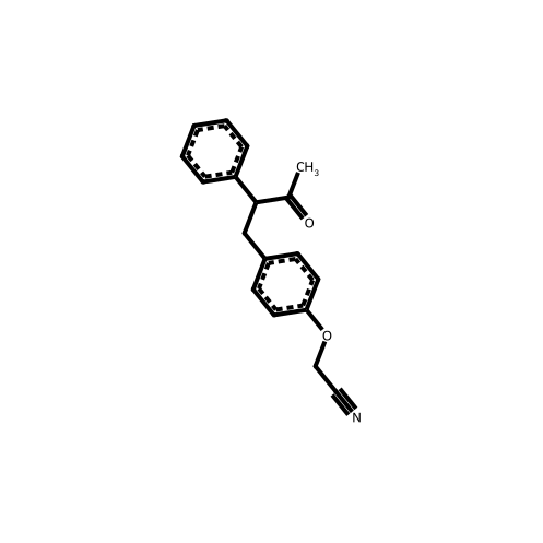 CC(=O)C(Cc1ccc(OCC#N)cc1)c1ccccc1